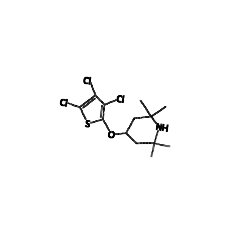 CC1(C)CC(Oc2sc(Cl)c(Cl)c2Cl)CC(C)(C)N1